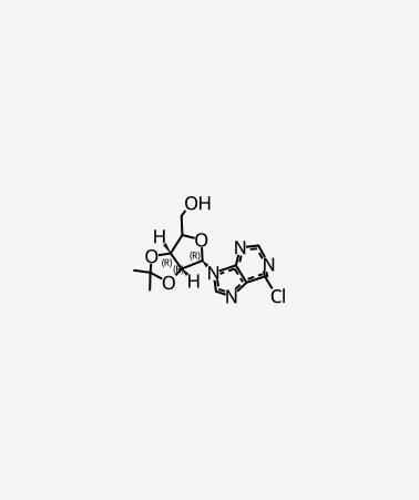 CC1(C)O[C@@H]2[C@H](O1)C(CO)O[C@H]2n1cnc2c(Cl)ncnc21